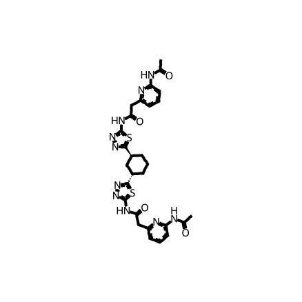 CC(=O)Nc1cccc(CC(=O)Nc2nnc([C@H]3CCC[C@H](c4nnc(NC(=O)Cc5cccc(NC(C)=O)n5)s4)C3)s2)n1